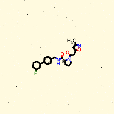 Cc1cc(CC(=O)N2CCC[C@H]2C(=O)NCc2ccc(C3CCCC(F)C3)cc2)on1